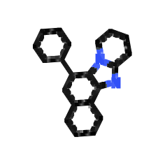 c1ccc(-c2cc3ccccc3c3nc4ccccn4c23)cc1